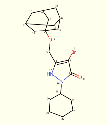 O=c1c(Br)c(COC23CC4CC(CC(C4)C2)C3)[nH]n1C1CCCCC1